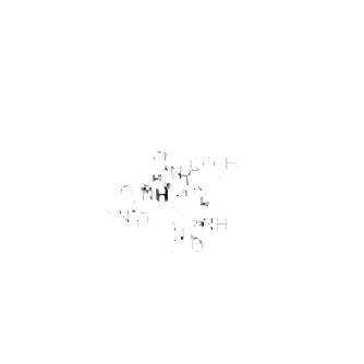 C[C@@H](NC(=O)C(=O)N(C)C)[C@H]1C(=O)N2C(C(=O)O)=C(S[C@@H]3CN[C@H](C(=O)N(C)C)C3)[C@H](C)[C@H]12